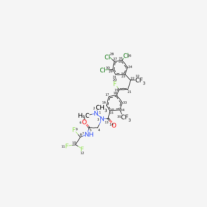 CN(C)N(CC(=O)NC(F)C(F)F)C(=O)c1ccc(C(F)=CC(c2cc(Cl)c(Cl)c(Cl)c2)C(F)(F)F)cc1C(F)(F)F